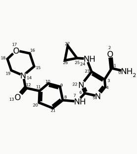 NC(=O)c1cnc(Nc2ccc(C(=O)N3CCOCC3)cc2)nc1NC1CC1